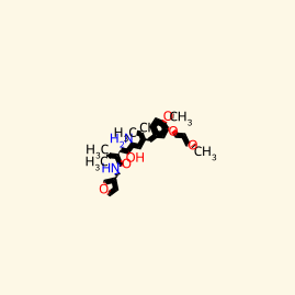 COCCCOc1cc(C[C@@H](C[C@H](N)[C@@H](O)C[C@H](C(=O)NC[C@@H]2CCOC2)C(C)C)C(C)C)ccc1OC